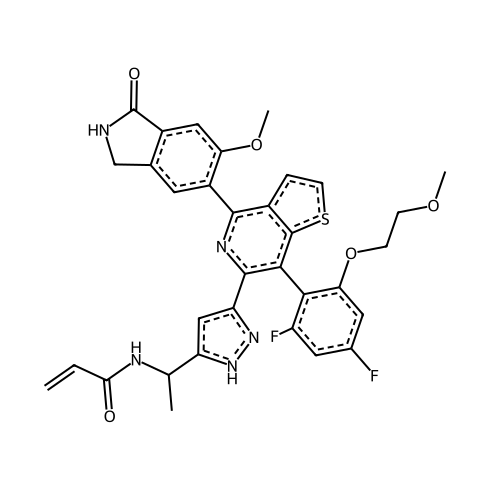 C=CC(=O)NC(C)c1cc(-c2nc(-c3cc4c(cc3OC)C(=O)NC4)c3ccsc3c2-c2c(F)cc(F)cc2OCCOC)n[nH]1